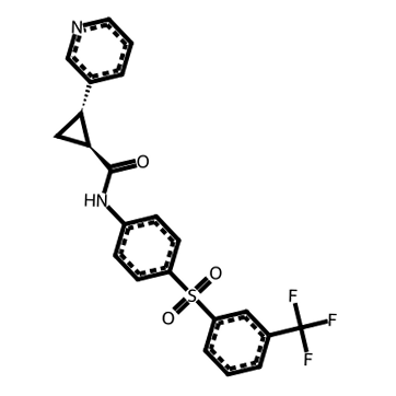 O=C(Nc1ccc(S(=O)(=O)c2cccc(C(F)(F)F)c2)cc1)[C@H]1C[C@@H]1c1cccnc1